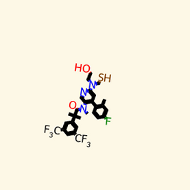 Cc1cc(F)ccc1-c1cc(N(CS)CCO)ncc1N(C)C(=O)C(C)(C)c1cc(C(F)(F)F)cc(C(F)(F)F)c1